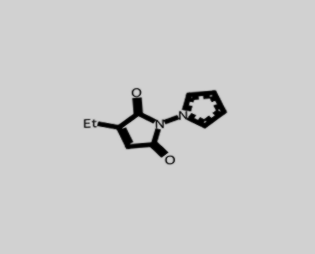 CCC1=CC(=O)N(n2cccc2)C1=O